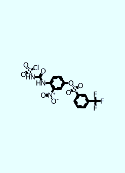 O=C(Nc1ccc(OS(=O)(=O)c2cccc(C(F)(F)F)c2)cc1[N+](=O)[O-])NS(=O)(=O)Cl